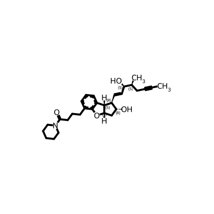 CC#CC[C@H](C)[C@H](O)C=C[C@@H]1[C@H]2c3cccc(CCCC(=O)N4CCCCC4)c3O[C@H]2C[C@H]1O